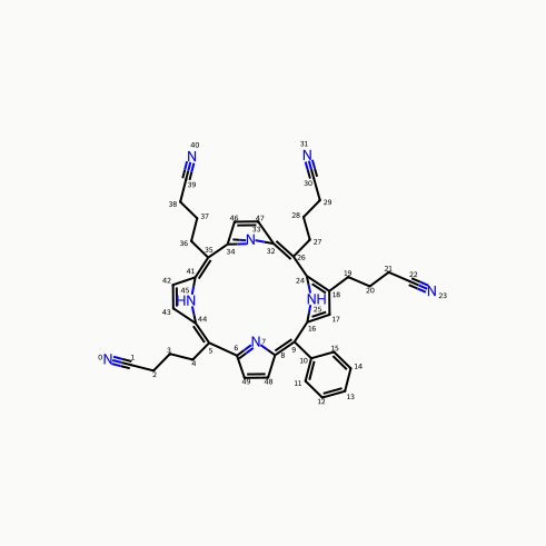 N#CCCCc1c2nc(c(-c3ccccc3)c3cc(CCCC#N)c([nH]3)c(CCCC#N)c3nc(c(CCCC#N)c4ccc1[nH]4)C=C3)C=C2